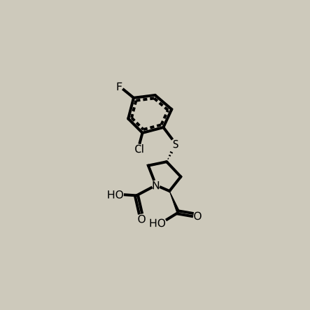 O=C(O)[C@@H]1C[C@@H](Sc2ccc(F)cc2Cl)CN1C(=O)O